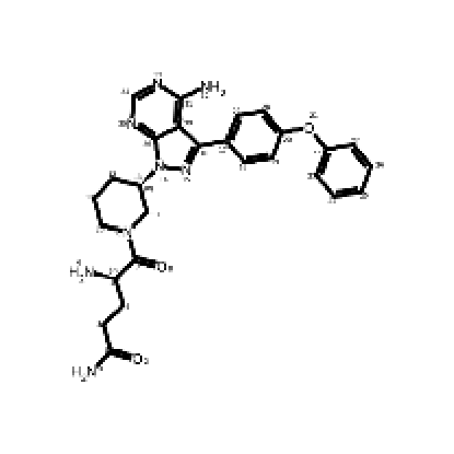 NC(=O)CC[C@@H](N)C(=O)N1CCC[C@@H](n2nc(-c3ccc(Oc4ccccc4)cc3)c3c(N)ncnc32)C1